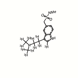 [2H]c1[nH]c2ccc(CS(=O)(=O)NC)cc2c1C([2H])([2H])C([2H])([2H])N(C([2H])([2H])[2H])C([2H])([2H])[2H]